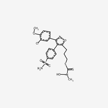 COc1ccc(-c2noc(CCCSC(=S)N(C)O)c2-c2ccc(S(N)(=O)=O)cc2)cc1Cl